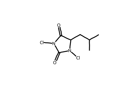 CC(C)CC1C(=O)N(Cl)C(=O)N1Cl